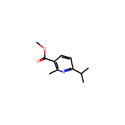 COC(=O)c1ccc(C(C)C)nc1C